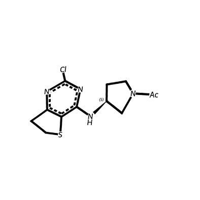 CC(=O)N1CC[C@H](Nc2nc(Cl)nc3c2SCC3)C1